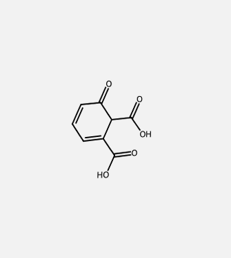 O=C(O)C1=CC=CC(=O)C1C(=O)O